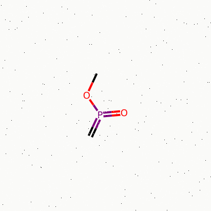 C=P(=O)OC